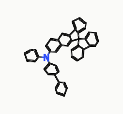 c1ccc(-c2ccc(N(c3ccccc3)c3ccc4cc5c(cc4c3)C3(c4ccccc4-c4ccccc43)c3ccccc3-5)cc2)cc1